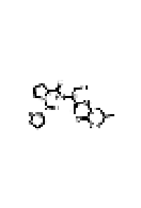 CC(C)C[C@H](NC(=O)[C@H](CS)NC(=O)[C@@H]1CCCN1C(=O)[C@@H]1CCCN1)C(=O)O